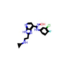 O/N=C(\Nc1ccc(F)c(Cl)c1)c1ccnc2[nH]c(CCNC3CC3)nc12